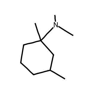 C[C]1CCCC(C)(N(C)C)C1